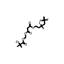 CCC(C)(C)C(=O)OCOC(=O)CC(=O)OCCC(F)(F)CC(C)(F)F